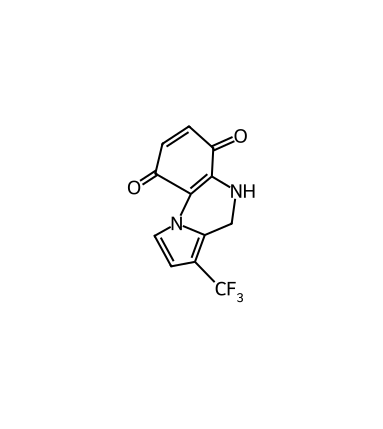 O=C1C=CC(=O)C2=C1NCc1c(C(F)(F)F)ccn12